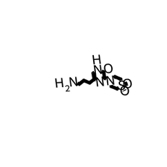 NCCCc1c[nH]c(=O)c(N2CCS(=O)(=O)CC2)n1